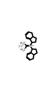 C[C](C)=[Zr+2]([CH]1CCC2CC=CC=C21)[CH]1CCC2CC=CC=C21.[F-].[F-]